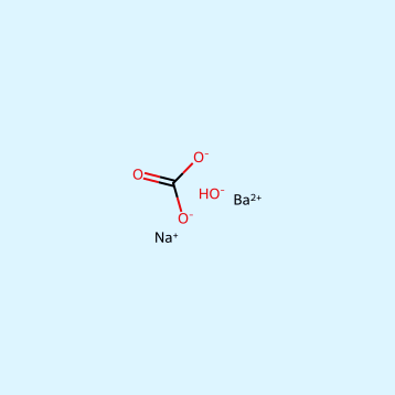 O=C([O-])[O-].[Ba+2].[Na+].[OH-]